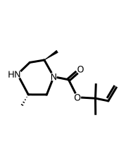 C=CC(C)(C)OC(=O)N1C[C@H](C)NC[C@H]1C